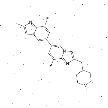 Cc1cn2cc(-c3cc(F)c4nc(CC5CCNCC5)cn4c3)cc(F)c2n1